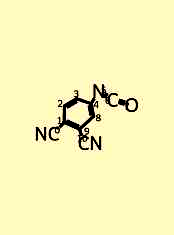 N#Cc1ccc(N=C=O)cc1C#N